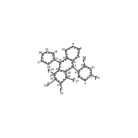 Fc1ccc(-c2c3ccccc3c(-c3ccccc3)c3c(F)c(F)c(F)c(F)c23)c(F)c1